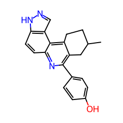 CC1CCc2c(c(-c3ccc(O)cc3)nc3ccc4[nH]ncc4c23)C1